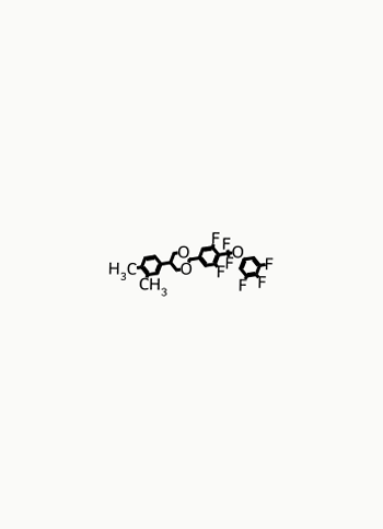 Cc1ccc(C2COC(c3cc(F)c(C(F)(F)Oc4cc(F)c(F)c(F)c4)c(F)c3)OC2)cc1C